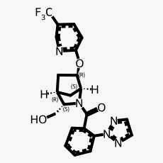 O=C(c1ccccc1-n1nccn1)N1[C@H](CO)[C@H]2C[C@@H](Oc3ccc(C(F)(F)F)cn3)[C@@H]1C2